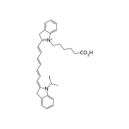 CC(I)N1\C(=C/C=C/C=C/C=C/C2=[N+](CCCCCC(=O)O)c3ccccc3C2)Cc2ccccc21